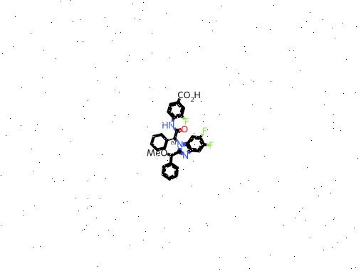 COC(c1ccccc1)c1nc2cc(F)c(F)cc2n1[C@H](C(=O)Nc1ccc(C(=O)O)cc1F)C1CCCCC1